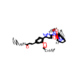 CNC(=O)/C=C/c1ccc(-c2ccc(N(C)C3C[C@H]4CC[C@@H](C3)N4C(=O)OC(C)(C)C)nn2)c(OCOC)c1